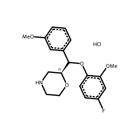 COc1cccc(C(Oc2ccc(F)cc2OC)[C@@H]2CNCCO2)c1.Cl